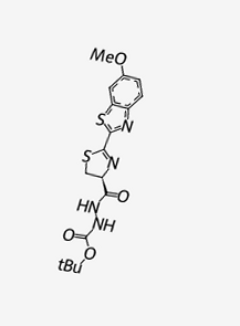 COc1ccc2nc(C3=N[C@@H](C(=O)NNC(=O)OC(C)(C)C)CS3)sc2c1